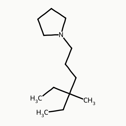 CCC(C)(CC)CCCN1CCCC1